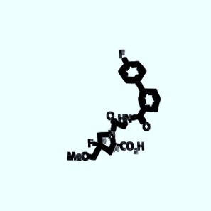 COC[C@@]1(F)C[C@@H](C(=O)O)N(C(=O)CNC(=O)c2cccc(-c3ccc(F)cc3)c2)C1